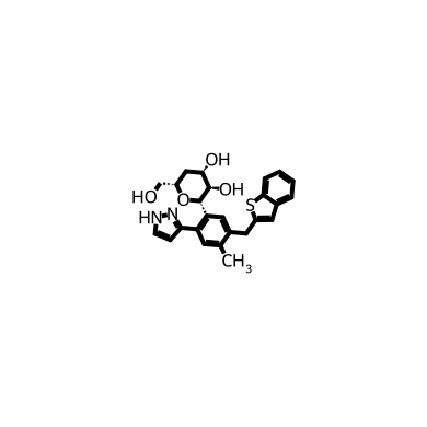 Cc1cc(-c2cc[nH]n2)c([C@@H]2O[C@H](CO)C[C@H](O)[C@H]2O)cc1Cc1cc2ccccc2s1